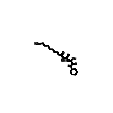 CCCCCCCCCCCCCCCCCCC(=O)N(O)C(=O)NC(C(=O)NC1CCCCC1)C(C)(C)C